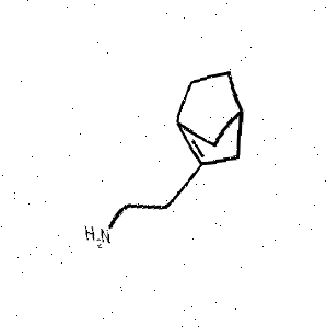 NCCC1=C2CCC(C1)C2